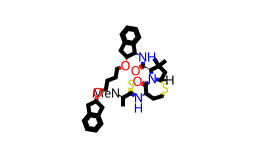 CN[C@@H](C)C(=S)N[C@H]1CCS[C@H]2CC(C)(C)[C@@H](C(=O)N[C@H]3c4ccccc4C[C@H]3OCCCCOC3Cc4ccccc4C3)N2C1=O